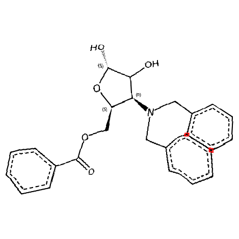 O=C(OC[C@H]1O[C@H](O)C(O)[C@H]1N(Cc1ccccc1)Cc1ccccc1)c1ccccc1